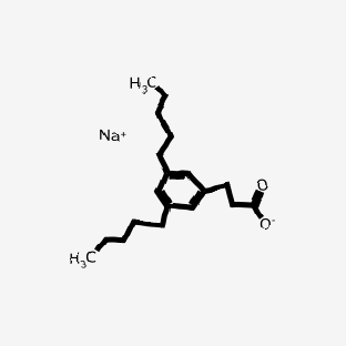 CCCCCc1cc(CCCCC)cc(CCC(=O)[O-])c1.[Na+]